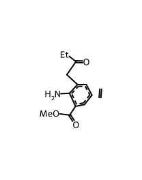 C=C.CCC(=O)Cc1cccc(C(=O)OC)c1N